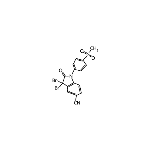 CS(=O)(=O)c1ccc(N2C(=O)C(Br)(Br)c3cc(C#N)ccc32)cc1